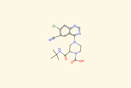 CC(C)(C)NC(=O)C1CN(c2ncnc3cc(Cl)c(C#N)cc23)CCN1C(=O)O